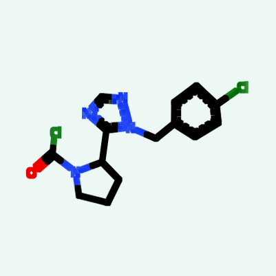 O=C(Cl)N1CCCC1c1ncnn1Cc1ccc(Cl)cc1